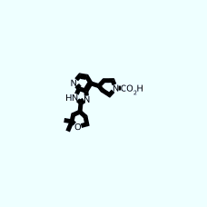 CC1(C)CC(c2nc3c(C4CCN(C(=O)O)CC4)ccnc3[nH]2)CCO1